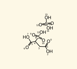 O=C(O)CC(C(=O)O)S(=O)(=O)O.O=S(=O)(O)O